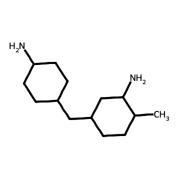 CC1CCC(CC2CCC(N)CC2)CC1N